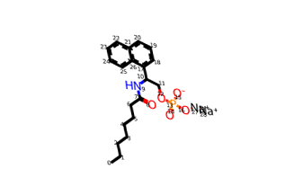 CCCCCCCC(=O)NC(COP(=O)([O-])[O-])c1cccc2ccccc12.[Na+].[Na+]